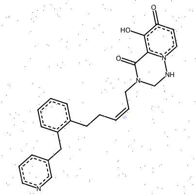 O=C1c2c(O)c(=O)ccn2NCN1C/C=C\CCc1ccccc1Cc1cccnc1